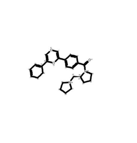 O=C(c1ccc(C2=COC=C(C3=CC=CCC3)O2)cc1)N1CCC[C@H]1CN1CCCC1